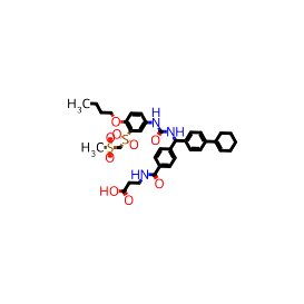 CCCCOc1ccc(NC(=O)NC(c2ccc(C(=O)NCCC(=O)O)cc2)c2ccc(C3=CCCCC3)cc2)cc1S(=O)(=O)CS(C)(=O)=O